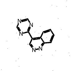 [c]1nnc2ccccc2c1-c1ncncn1